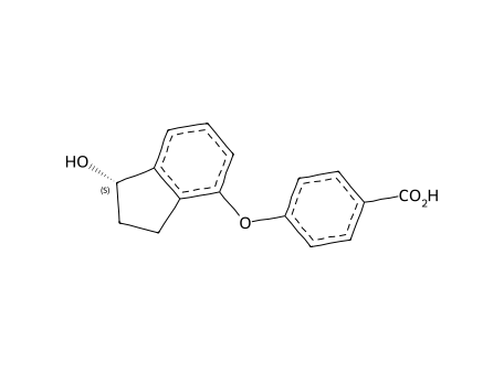 O=C(O)c1ccc(Oc2cccc3c2CC[C@@H]3O)cc1